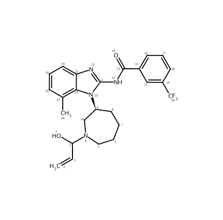 C=CC(O)N1CCCC[C@H](n2c(NC(=O)c3cccc(C(F)(F)F)c3)nc3cccc(C)c32)C1